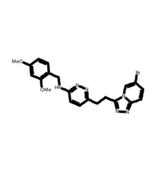 COc1ccc(CNc2ccc(CCc3nnc4ccc(Br)cn34)nn2)c(OC)c1